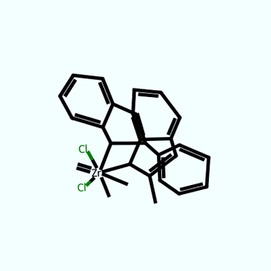 [CH2]=[Zr]([CH3])([CH3])([Cl])([Cl])([CH]1C(C)=Cc2ccccc21)[CH]1C(c2ccccc2)=Cc2ccccc21